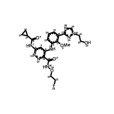 COc1c(Nc2cc(NC(=O)C3CC3)nnc2C(=O)NOCCF)cccc1-c1ncn(CCO)n1